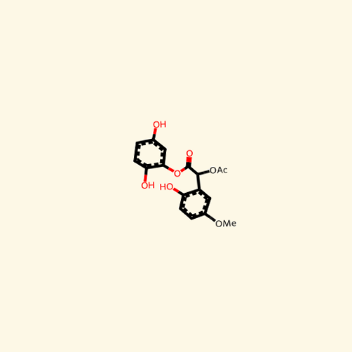 COc1ccc(O)c(C(OC(C)=O)C(=O)Oc2cc(O)ccc2O)c1